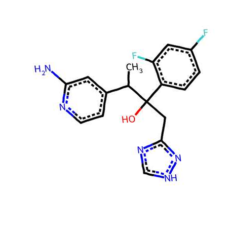 CC(c1ccnc(N)c1)C(O)(Cc1nc[nH]n1)c1ccc(F)cc1F